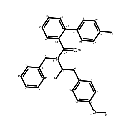 COc1ccc(CC(C)N(Cc2ccccc2)C(=O)c2ccccc2-c2ccc(C)cc2)cc1